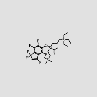 CC[Si](CC)(CC)CCC[Si](CC[Si](C)(C)C)(Oc1c(F)c(F)c2c(c1F)C(F)=[C]C2(F)F)C(C)C